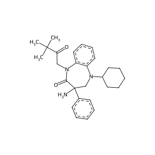 CC(C)(C)C(=O)CN1C(=O)C(N)(c2ccccc2)CN(C2CCCCC2)c2ccccc21